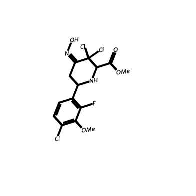 COC(=O)C1NC(c2ccc(Cl)c(OC)c2F)CC(=NO)C1(Cl)Cl